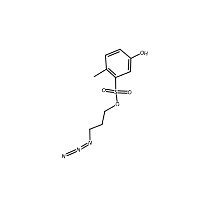 Cc1ccc(O)cc1S(=O)(=O)OCCCN=[N+]=[N-]